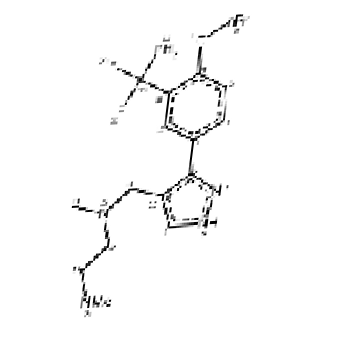 CCCOc1ccc(-c2n[nH]cc2CN(C)CCNC)cc1C(F)(F)P